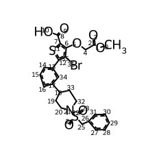 COC(=O)COc1c(C(=O)O)sc(-c2cccc(C3CCN(S(=O)(=O)Cc4ccccc4)CC3)c2)c1Br